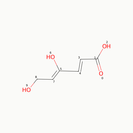 O=C(O)C=CC(O)=CCO